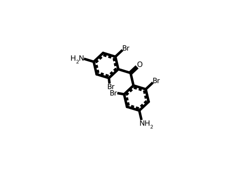 Nc1cc(Br)c(C(=O)c2c(Br)cc(N)cc2Br)c(Br)c1